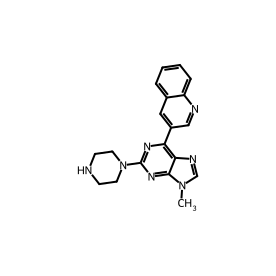 Cn1cnc2c(-c3cnc4ccccc4c3)nc(N3CCNCC3)nc21